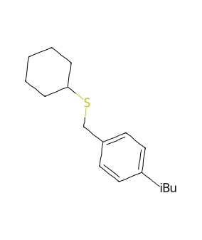 CCC(C)c1ccc(CSC2CCCCC2)cc1